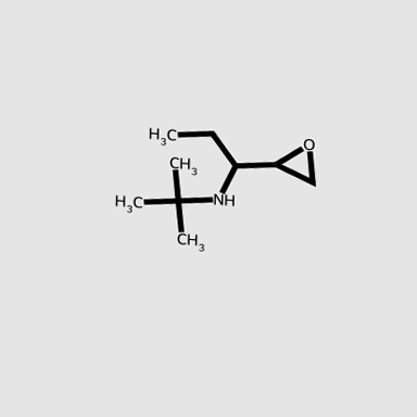 CCC(NC(C)(C)C)C1CO1